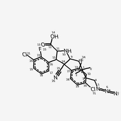 CC(C)(CCN=[N+]=[N-])CC1NC(C(=O)O)C(c2cccc(Cl)c2F)C1(C#N)c1ccc(Cl)cc1F